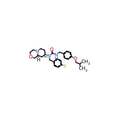 CC(C)COc1ccc(CNC(=O)N(Cc2ccc(F)cc2)[C@@H]2CCN3CCOC[C@@H]3C2)cc1